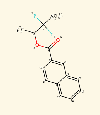 O=C(OC(C(F)(F)F)C(F)(F)S(=O)(=O)O)c1ccc2ccccc2c1